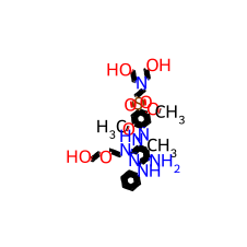 COc1cc(S(=O)(=O)CCN(CCO)CCO)c(OC)cc1/N=N/c1c(NCCOCCO)nc(Nc2ccccc2)c(N)c1C